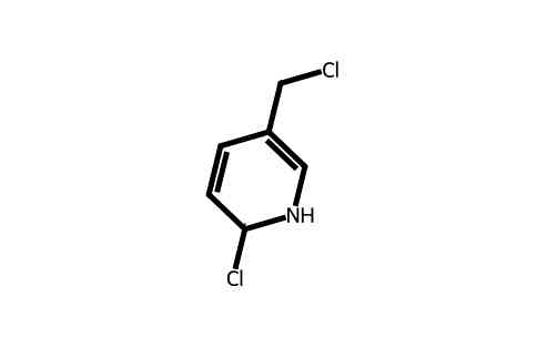 ClCC1=CN[C](Cl)C=C1